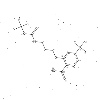 CC(C)(C)OC(=O)NCCCOc1cc(C(C)(C)C)ccc1C(=O)O